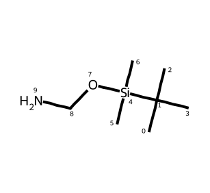 CC(C)(C)[Si](C)(C)OCN